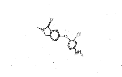 CN1Cc2ccc(Oc3ccc(N)cc3Cl)cc2C1=O